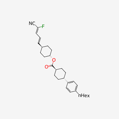 CCCCCCc1ccc([C@H]2CC[C@H](C(=O)O[C@H]3CC[C@H](C=CC=C(F)C#N)CC3)CC2)cc1